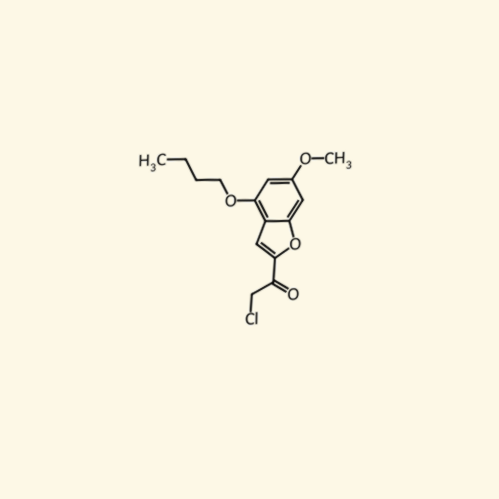 CCCCOc1cc(OC)cc2oc(C(=O)CCl)cc12